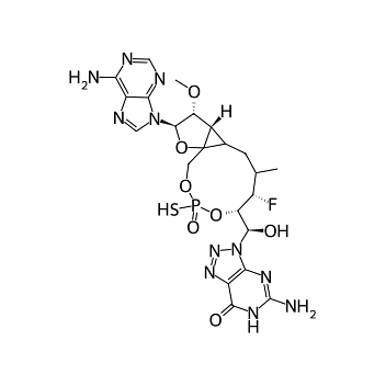 CO[C@H]1[C@H](n2cnc3c(N)ncnc32)OC23COP(=O)(S)O[C@@H]([C@@H](O)n4nnc5c(=O)[nH]c(N)nc54)[C@@H](F)C(C)CC2[C@@H]13